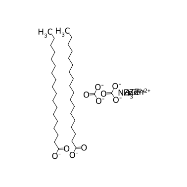 CCCCCCCCCCCCCCCCCC(=O)[O-].CCCCCCCCCCCCCCCCCC(=O)[O-].N.O=C([O-])[O-].O=C([O-])[O-].[Zn+2].[Zn+2].[Zn+2]